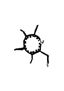 Cc1nc(CF)c(C)c(C)c1C